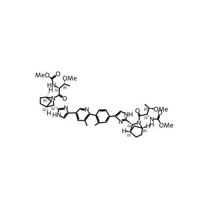 COC(=O)N[C@H](C(=O)N1[C@@H]2CC[C@@H](C2)[C@H]1c1nc(-c2ccc(-c3ncc(-c4c[nH]c([C@@H]5[C@H]6CC[C@H](C6)N5C(=O)[C@@H](NC(=O)OC)[C@@H](C)OC)n4)cc3C)c(C)c2)c[nH]1)[C@@H](C)OC